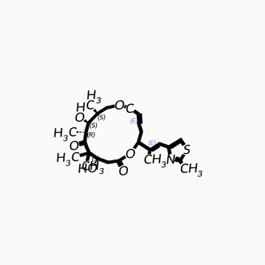 C/C(=C\c1csc(C)n1)C1C/C=C/COC[C@H](C)[C@H](O)[C@@H](C)C(=O)C(C)(C)[C@@H](O)CC(=O)O1